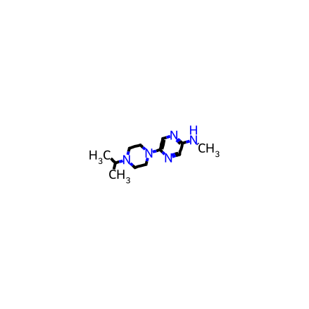 CNc1cnc(N2CCN(C(C)C)CC2)cn1